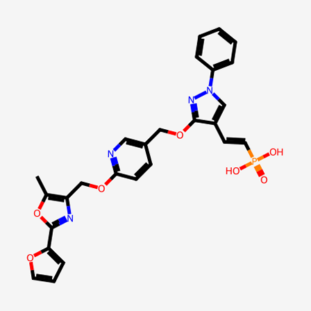 Cc1oc(-c2ccco2)nc1COc1ccc(COc2nn(-c3ccccc3)cc2/C=C/P(=O)(O)O)cn1